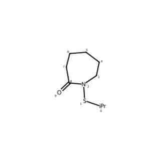 CC(C)SN1CCCCCC1=O